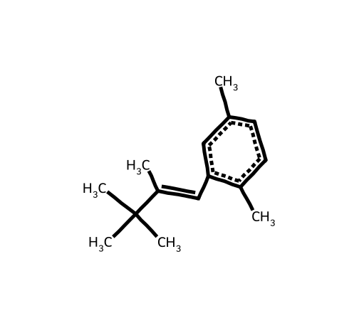 C/C(=C\c1cc(C)ccc1C)C(C)(C)C